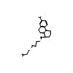 CC(C)c1ccc2c(c1)CC[C@H]1[C@](C)(C(=O)NCCC(=O)NCCC(=O)O)CCC[C@]21C